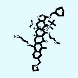 COCCOC1=C2C(=O)c3c(c(OCCCO)c4ccc(CN5CCC5)cc4c3C)C[C@H]2C[C@H]2[C@H](N(C)C)c3onc(OCc4ccccc4)c3C(=O)[C@@]12O[Si](C)(C)C(C)(C)C